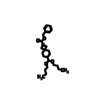 CCCCOC(OCCCC)C1CCC2(CC1)CN(C(=O)OCc1ccccc1)C2